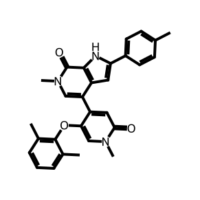 Cc1ccc(-c2cc3c(-c4cc(=O)n(C)cc4Oc4c(C)cccc4C)cn(C)c(=O)c3[nH]2)cc1